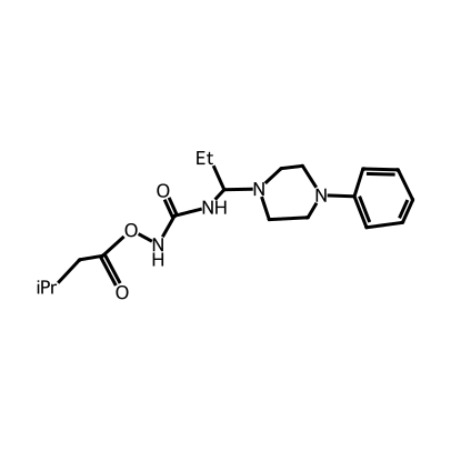 CCC(NC(=O)NOC(=O)CC(C)C)N1CCN(c2ccccc2)CC1